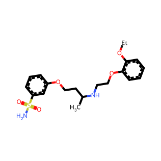 CCOc1ccccc1OCCNC(C)CCOc1cccc(S(N)(=O)=O)c1